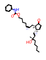 CCCCC[C@](C)(O)/C=C/[C@H]1C=CC(=O)[C@@H]1C/C=C\CCCCOC(=O)Nc1ccccc1